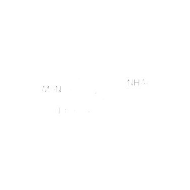 CNc1ccc(-c2cccc(NC(C)=O)c2)cc1C